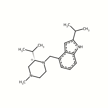 CC(C)c1cc2c(CN3CCN(C)C[C@@H]3C(C)C)cccc2[nH]1